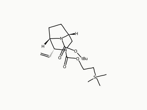 C=C[C@@H]1[C@@H]2CC[C@H](CN1C(=O)OCC[Si](C)(C)C)N2C(=O)OC(C)(C)C